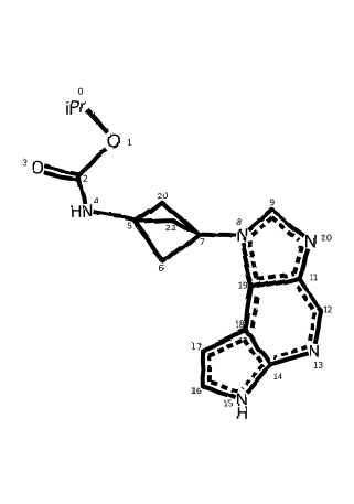 CC(C)OC(=O)NC12CC(n3cnc4cnc5[nH]ccc5c43)(C1)C2